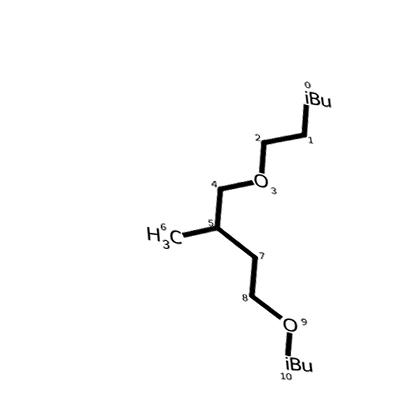 CCC(C)CCOCC(C)CCOC(C)CC